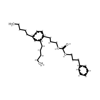 CCCCCc1ccc(CCCOC(=O)OCCCc2ccccc2)c(CCCCC)c1